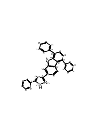 c1ccc(-c2nc(-c3ccc4c(c3)oc3c(-c5ccccc5)ccc(-c5ccccc5)c34)n[nH]2)cc1